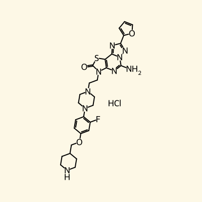 Cl.Nc1nc2c(sc(=O)n2CCN2CCN(c3ccc(OCC4CCNCC4)cc3F)CC2)c2nc(-c3ccco3)nn12